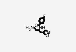 NCCC(CC1=COOC=C1)NC(=O)c1ccc(F)cc1